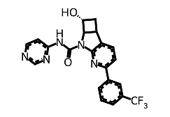 O=C(Nc1ccncn1)N1c2nc(-c3cccc(C(F)(F)F)c3)ccc2C2C[C@@H](O)C21